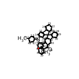 Cc1ccc(N(c2ccc(C)cc2)c2ccc3c(c2)C2(c4ccccc4-3)c3ccccc3-c3cc4c(=O)c5ccccc5sc4cc32)cc1